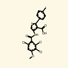 COc1cc(Cl)c(C(=O)Nc2csc(-c3ccc(I)cc3)c2C(=O)O)c(Cl)c1Cl